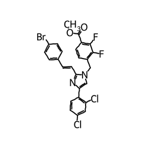 COC(=O)c1ccc(Cn2cc(-c3ccc(Cl)cc3Cl)nc2C=Cc2ccc(Br)cc2)c(F)c1F